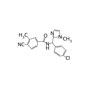 Cc1cc(C(=O)NC(c2ccc(Cl)cc2)c2nccn2C)ccc1C#N